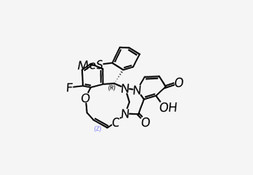 CSc1ccccc1[C@H]1c2cccc(F)c2OC/C=C\CN2CN1n1ccc(=O)c(O)c1C2=O